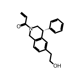 C=CC(=O)N1Cc2ccc(CCO)cc2[C@@H](c2ccccc2)C1